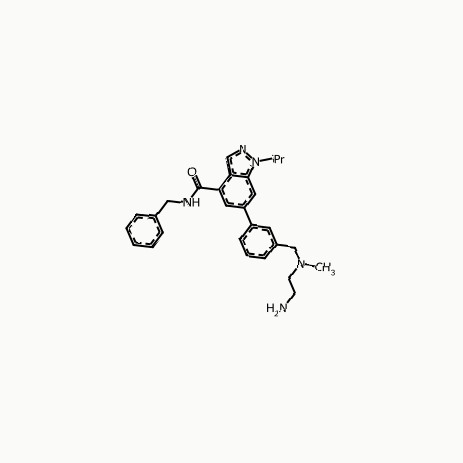 CC(C)n1ncc2c(C(=O)NCc3ccccc3)cc(-c3cccc(CN(C)CCN)c3)cc21